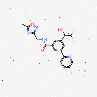 Cc1nc(CNC(=O)c2cc(-c3ccc(F)cn3)cc(C(O)C(F)F)c2)no1